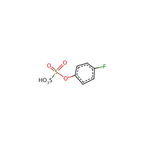 O=S(=O)(O)S(=O)(=O)Oc1ccc(F)cc1